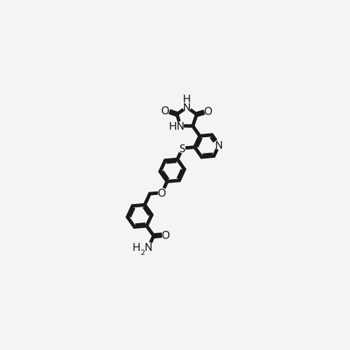 NC(=O)c1cccc(COc2ccc(Sc3ccncc3C3NC(=O)NC3=O)cc2)c1